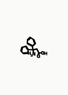 NC(CC(=O)O)(c1ccccc1)c1ccccc1